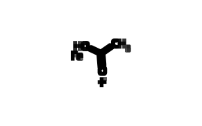 CC(=O)O.[F].[Fe]